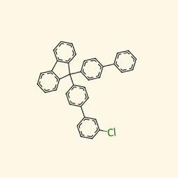 Clc1cccc(-c2ccc(C3(c4ccc(-c5ccccc5)cc4)c4ccccc4-c4ccccc43)cc2)c1